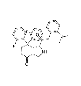 CN(C)c1ccccc1CC(=O)C1NCC2C(=O)CCC(c3ccccc3F)(c3ccccc3F)C21